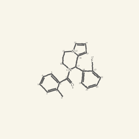 Cc1ccccc1C(=O)N1CCn2cccc2C1c1ccccc1F